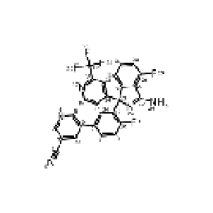 N#Cc1cncc(-c2ccc(F)c(C3(c4ccnc(C(F)(F)F)c4)N=C(N)c4c(F)cccc43)c2)c1